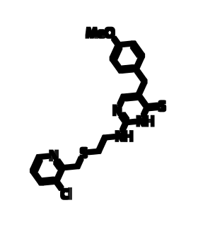 COc1ccc(Cc2cnc(NCCSCc3ncccc3Cl)[nH]c2=S)cc1